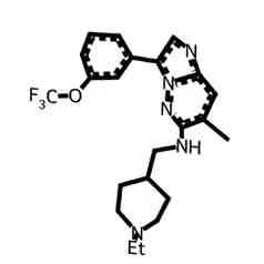 CCN1CCC(CNc2nn3c(-c4cccc(OC(F)(F)F)c4)cnc3cc2C)CC1